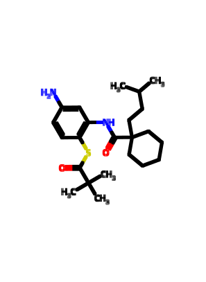 CC(C)CCC1(C(=O)Nc2cc(N)ccc2SC(=O)C(C)(C)C)CCCCC1